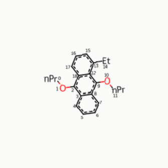 CCCOc1c2ccccc2c(OCCC)c2c(CC)cccc12